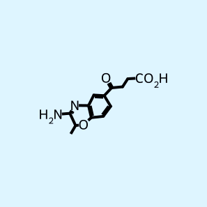 CC1Oc2ccc(C(=O)CCC(=O)O)cc2N=C1N